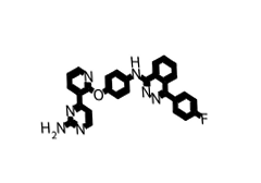 Nc1nccc(-c2cccnc2Oc2ccc(Nc3nnc(-c4ccc(F)cc4)c4ccccc34)cc2)n1